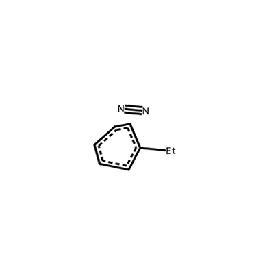 CCc1ccccc1.N#N